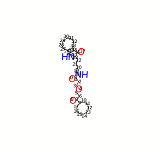 O=C(CCOCCC(=O)C1CCCCCCCC1)NCCCCC1NC2C3CCCCCCC(C3)C2C1=O